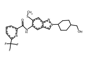 CSc1cc2nn(C3CCC(CO)CC3)cc2cc1NC(=O)c1cccc(C(F)(F)F)n1